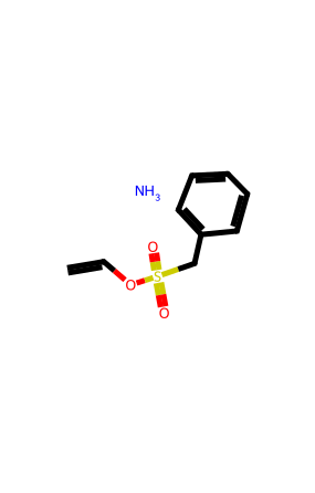 C=COS(=O)(=O)Cc1ccccc1.N